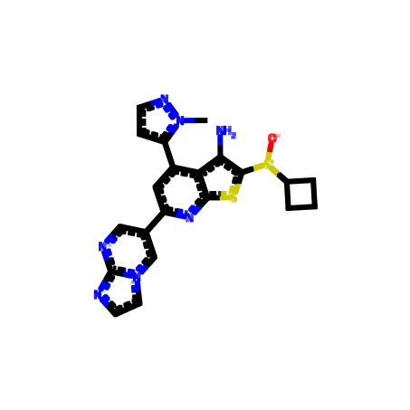 Cn1nccc1-c1cc(-c2cnc3nccn3c2)nc2sc([S+]([O-])C3CCC3)c(N)c12